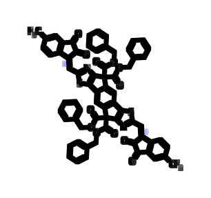 O=C1C(=O)c2cc(C(F)(F)F)ccc2/C1=C/c1nc2c(s1)-c1cc3c(cc1C2(C(=O)OCc1ccccc1)C(=O)OCc1ccccc1)-c1sc(/C=C2\C(=O)C(=O)c4cc(C(F)(F)F)ccc42)nc1C3(C(=O)OCc1ccccc1)C(=O)OCc1ccccc1